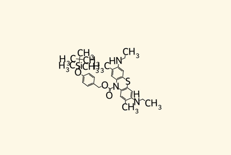 CCNc1cc2c(cc1C)N(C(=O)OCc1ccc(O[Si](C)(C)C(C)(C)C)cc1)c1cc(C)c(NCC)cc1S2